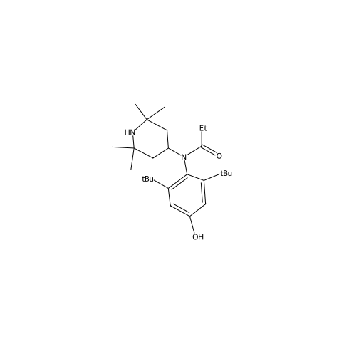 CCC(=O)N(c1c(C(C)(C)C)cc(O)cc1C(C)(C)C)C1CC(C)(C)NC(C)(C)C1